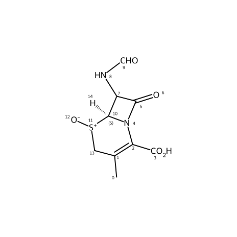 CC1=C(C(=O)O)N2C(=O)C(NC=O)[C@@H]2[S+]([O-])C1